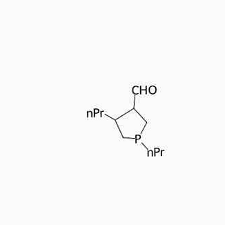 CCCC1CP(CCC)CC1C=O